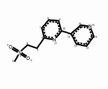 CS(=O)(=O)CCc1cccc(-c2cccnc2)n1